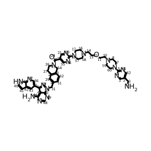 NCc1cnc(N2CCN(CCOCCN3CCN(c4ncc(C(=O)N5CCc6cc(Cn7nc(-c8cnc9[nH]ccc9c8)c8c(N)ncnc87)ccc6C5)cn4)CC3)CC2)nc1